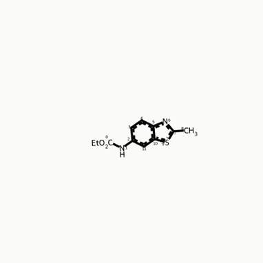 CCOC(=O)Nc1ccc2nc(C)sc2c1